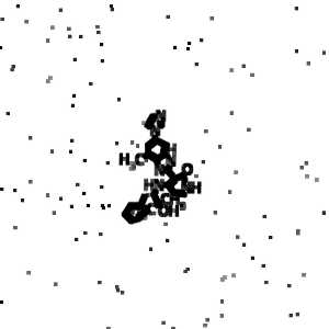 Cc1cc(-n2ccnc2)cc2[nH]c(-c3c(N[C@@H](Cc4ccccc4)C(C)(C)O)cc[nH]c3=O)nc12